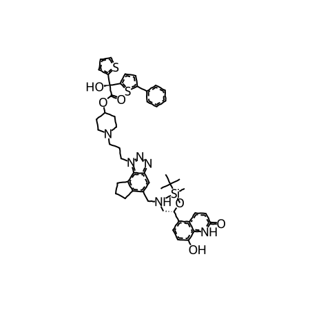 CC(C)(C)[Si](C)(C)O[C@@H](CNCc1cc2nnn(CCCN3CCC(OC(=O)[C@](O)(c4cccs4)c4ccc(-c5ccccc5)s4)CC3)c2c2c1CCC2)c1ccc(O)c2[nH]c(=O)ccc12